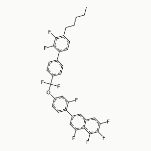 CCCCCc1ccc(-c2ccc(C(F)(F)Oc3ccc(-c4cc(F)c5c(F)c(F)c(F)cc5c4)c(F)c3)cc2)c(F)c1F